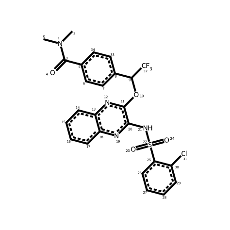 CN(C)C(=O)c1ccc(C(Oc2nc3ccccc3nc2NS(=O)(=O)c2ccccc2Cl)C(F)(F)F)cc1